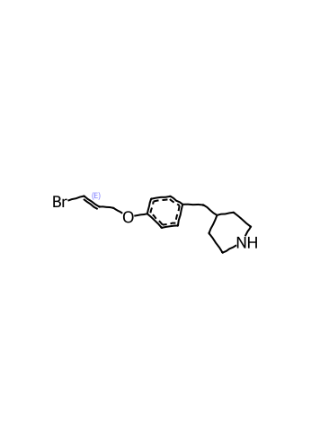 Br/C=C/COc1ccc(CC2CCNCC2)cc1